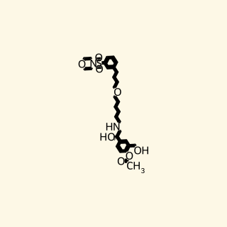 CC(=O)Oc1ccc([C@@H](O)CNCCCCCCOCCCCc2cccc(S(=O)(=O)N3CCOCC3)c2)cc1CO